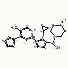 CCN1CCN(C(O)c2cnn(-c3ncc(C)c(-c4cccs4)n3)c2C2CC2)CC1